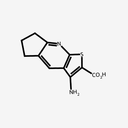 Nc1c(C(=O)O)sc2nc3c(cc12)CCC3